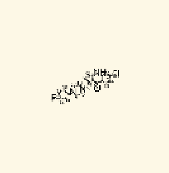 Nc1scc(CN2CCN(c3ccc(F)cc3)CC2)c1C(=O)c1ccc(Cl)cc1